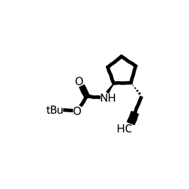 C#CC[C@H]1CCC[C@@H]1NC(=O)OC(C)(C)C